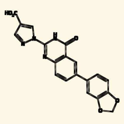 O=C(O)c1cnn(-c2nc3ccc(-c4ccc5c(c4)OCO5)cc3c(=O)[nH]2)c1